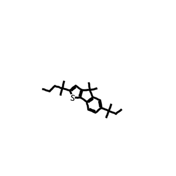 CCCC(C)(C)c1cc2c(s1)-c1ccc(C(C)(C)CC)cc1C2(C)C